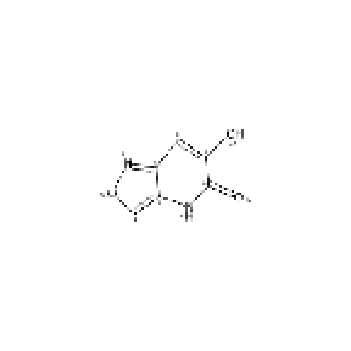 O=c1[nH]c2conc2cc1O